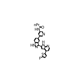 CCCC(=O)Nc1cncc(-c2ccc3[nH]nc(-c4cc5c(-c6ccc(F)s6)ccnc5[nH]4)c3c2)c1